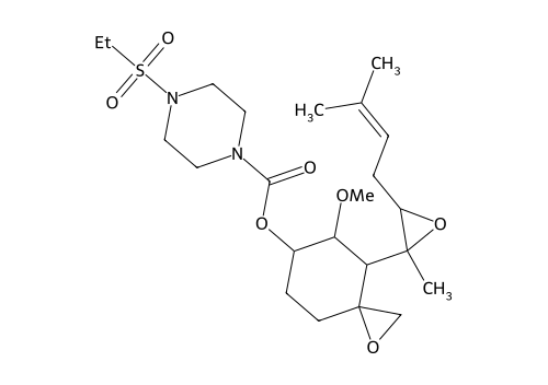 CCS(=O)(=O)N1CCN(C(=O)OC2CCC3(CO3)C(C3(C)OC3CC=C(C)C)C2OC)CC1